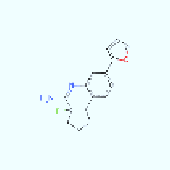 NC1=Nc2cc(-c3ccco3)ccc2C2CCCC12F